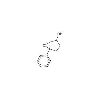 OC1CCC2(c3ccccc3)OC12